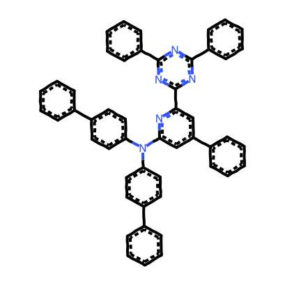 c1ccc(-c2ccc(N(c3ccc(-c4ccccc4)cc3)c3cc(-c4ccccc4)cc(-c4nc(-c5ccccc5)nc(-c5ccccc5)n4)n3)cc2)cc1